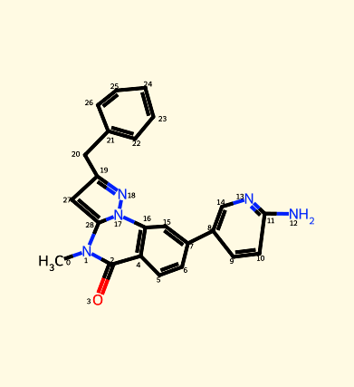 Cn1c(=O)c2ccc(-c3ccc(N)nc3)cc2n2nc(Cc3ccccc3)cc12